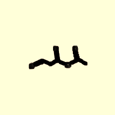 CC(=O)OC(=O)CC=O